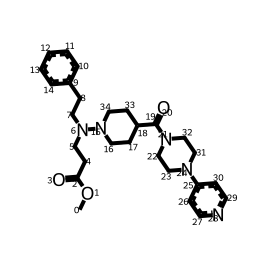 COC(=O)CCN(CCc1ccccc1)N1CCC(C(=O)N2CCN(c3ccncc3)CC2)CC1